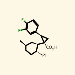 CC(C)[C@@H]1CC[C@@H](C)C[C@H]1[C@]1(C(=O)O)C[C@@H]1c1ccc(F)c(F)c1